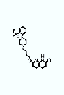 CC(F)(F)c1ccccc1N1CCN(CCCCOc2ccc3ccc(=O)[nH]c3n2)CC1